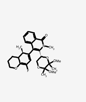 COC1(C)OC[C@H](c2c(C3=CC(F)=C4OCCCC4[C@H]3C)c3ccccc3c(=O)n2C)OC1(C)OC